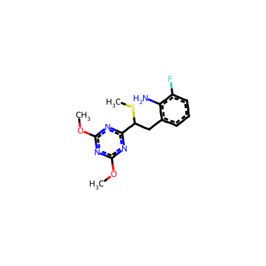 COc1nc(OC)nc(C(Cc2cccc(F)c2N)SC)n1